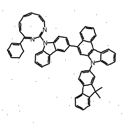 CC1(C)c2ccccc2-c2ccc(-n3c4ccccc4c4c5ccccc5c(-c5ccc6c(c5)c5ccccc5n6-c5nccccccc(C6=CC=CCC6)n5)cc43)cc21